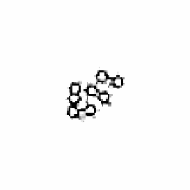 c1ccc(-n2c3ccccc3c3cccc(-c4ccc(N(c5cccc6ccccc56)c5cccc6oc7ccccc7c56)cc4)c32)cc1